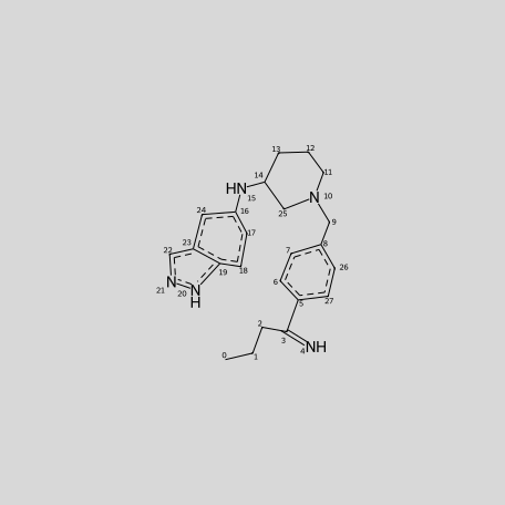 CCCC(=N)c1ccc(CN2CCCC(Nc3ccc4[nH]ncc4c3)C2)cc1